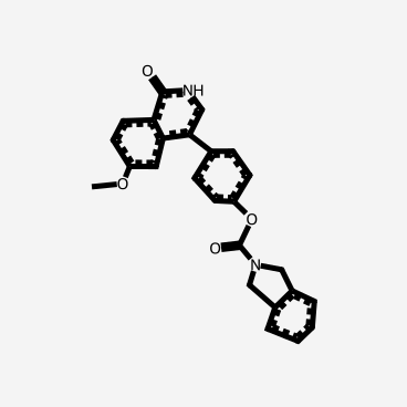 COc1ccc2c(=O)[nH]cc(-c3ccc(OC(=O)N4Cc5ccccc5C4)cc3)c2c1